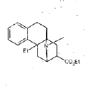 CCOC(=O)C1CC2C3Cc4ccccc4C2(CC)CC1N3C